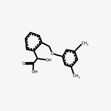 Cc1cc(C)cc(OCc2ccccc2C(O)C(=O)O)c1